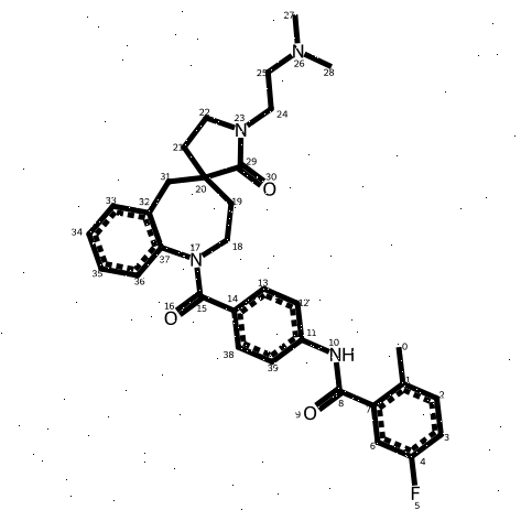 Cc1ccc(F)cc1C(=O)Nc1ccc(C(=O)N2CCC3(CCN(CCN(C)C)C3=O)Cc3ccccc32)cc1